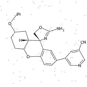 CC(C)OC1CCC2Oc3ccc(-c4cncc(C#N)c4)cc3[C@]3(COC(N)=N3)[C@H]2C1